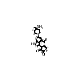 CC1(N)CCN(c2cc(C(F)F)c3c(-c4ccnc(Cl)c4Cl)n[nH]c3n2)CC1